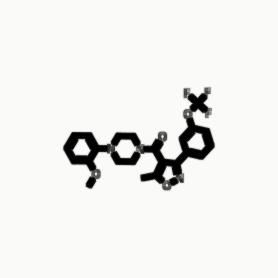 COc1ccccc1N1CCN(C(=O)c2c(-c3cccc(OC(F)(F)F)c3)noc2C)CC1